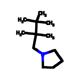 CC(C)(C)C(C)(C)CN1CCCC1